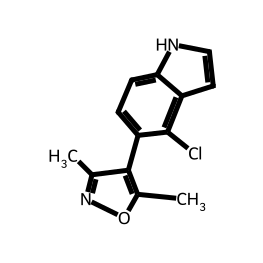 Cc1noc(C)c1-c1ccc2[nH]ccc2c1Cl